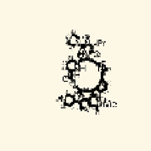 CCn1c(-c2cc(C3CCN(C)CC3)cnc2[C@H](C)OC)c2c3cc(ccc31)-c1csc(n1)C[C@H](NC(=O)[C@H](C(C)C)N(C)C(=O)N1CCOCC1)C(=O)N1CCC[C@@](O)(N1)C(=O)OCC(C)(C)C2